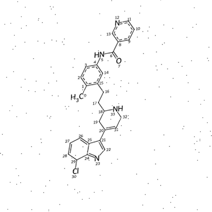 Cc1ccc(NC(=O)c2cccnc2)cc1CCC1CC(C2=CN=C3C2=CC=CC3Cl)=CCN1